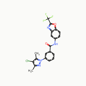 Cc1nn(-c2cccc(C(=O)Nc3ccc4oc(C(F)(F)F)nc4c3)c2)c(C)c1Cl